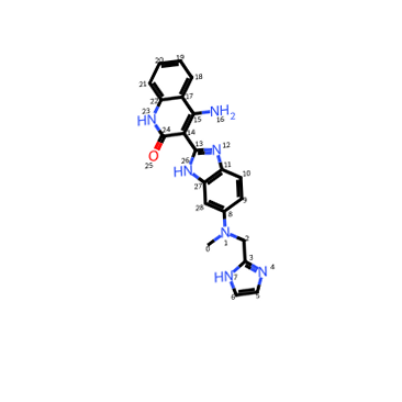 CN(Cc1ncc[nH]1)c1ccc2nc(-c3c(N)c4ccccc4[nH]c3=O)[nH]c2c1